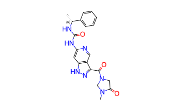 C[C@@H](NC(=O)Nc1cc2[nH]nc(C(=O)N3CC(=O)N(C)C3)c2cn1)c1ccccc1